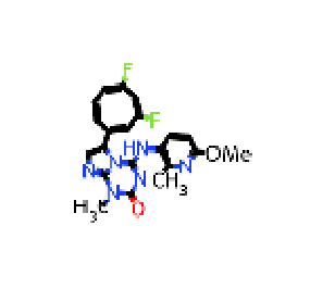 COc1ccc(NC2=NC(=O)N(C)C3=NCC(C4=C/C(F)=C\C(F)=C/C=C\4)N23)c(C)n1